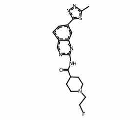 Cc1nnc(-c2ccc3cnc(NC(=O)C4CCN(CCF)CC4)nc3c2)s1